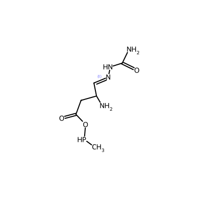 CPOC(=O)CC(N)/C=N/NC(N)=O